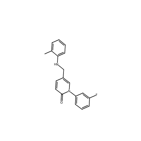 Cc1ccccc1NCc1ccc(=O)n(-c2cccc(F)c2)c1